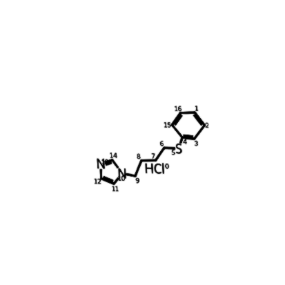 Cl.c1ccc(SCCCCn2ccnc2)cc1